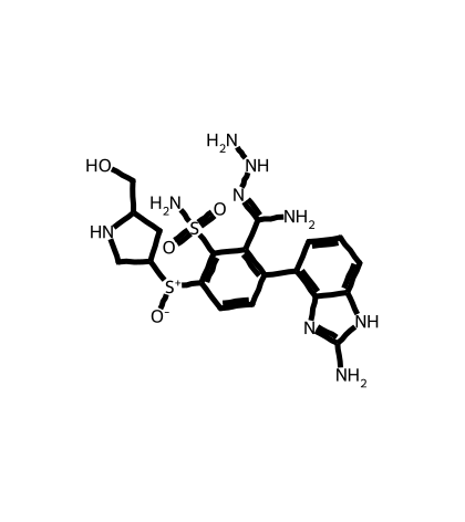 NN/N=C(\N)c1c(-c2cccc3[nH]c(N)nc23)ccc([S+]([O-])C2CNC(CO)C2)c1S(N)(=O)=O